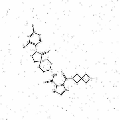 CN1CC2(C1)CN(C(=O)c1nc[nH]c1C(=O)N[C@H]1CC[C@@]3(CCN(c4ccc(F)cc4Cl)C3=O)CC1)C2